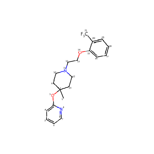 CC1(Oc2ccccn2)CCN(CCOc2ccccc2C(F)(F)F)CC1